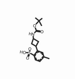 Cc1ccc(S(=O)(=O)O)c(C2CC(NC(=O)OC(C)(C)C)C2)c1